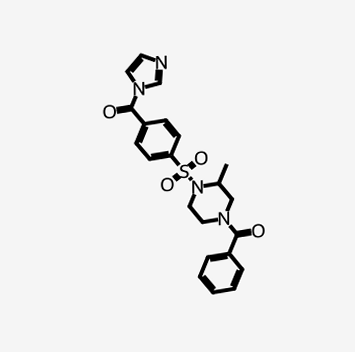 CC1CN(C(=O)c2ccccc2)CCN1S(=O)(=O)c1ccc(C(=O)n2ccnc2)cc1